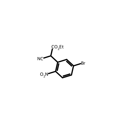 CCOC(=O)C(C#N)c1cc(Br)ccc1[N+](=O)[O-]